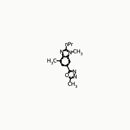 CCCc1nc2c(C)cc(-c3nnc(C)o3)cc2n1C